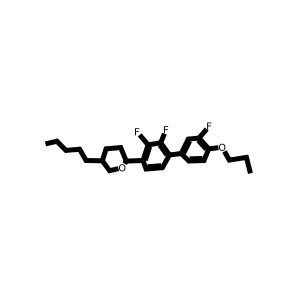 CCCCCC1CCC(c2ccc(-c3ccc(OCCC)c(F)c3)c(F)c2F)OC1